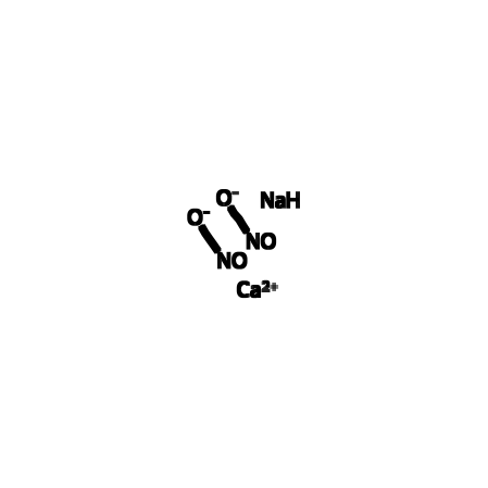 O=N[O-].O=N[O-].[Ca+2].[NaH]